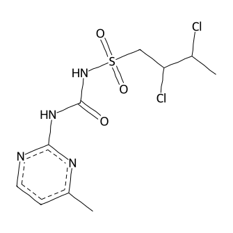 Cc1ccnc(NC(=O)NS(=O)(=O)CC(Cl)C(C)Cl)n1